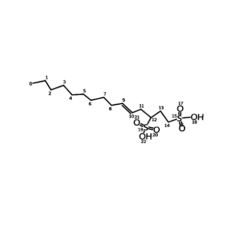 CCCCCCCCC/C=C/CC(CCS(=O)(=O)O)S(=O)(=O)O